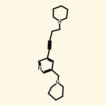 C(#Cc1cncc(CN2CCCCC2)c1)CCN1CCCCC1